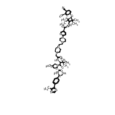 Cc1ncsc1-c1ccc([C@H](CO)NC(=O)[C@@H]2C[C@@H](O)CN2C(=O)C(NC(=O)CN2CCN(CCN3CCN(c4ccc(C(=O)NC5C(C)(C)C(Oc6ccc(C#N)c(Cl)c6)C5(C)C)cn4)CC3)CC2)C(C)(C)C)cc1